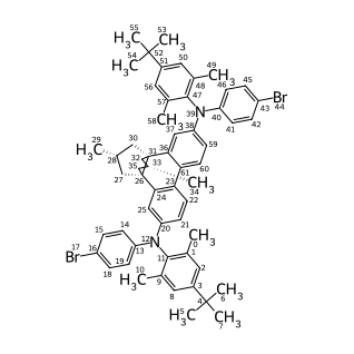 Cc1cc(C(C)(C)C)cc(C)c1N(c1ccc(Br)cc1)c1ccc2c(c1)[C@]13C[C@H](C)C[C@]1(C[C@H](C)C3)c1cc(N(c3ccc(Br)cc3)c3c(C)cc(C(C)(C)C)cc3C)ccc1-2